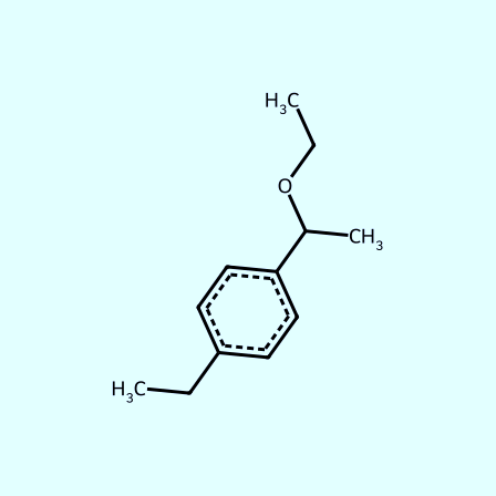 CCOC(C)c1ccc(CC)cc1